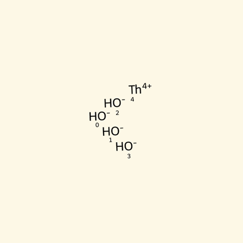 [OH-].[OH-].[OH-].[OH-].[Th+4]